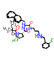 CC(C)(C)C(=O)N1CCC[C@H]1C(=O)N[C@H](Cc1ccc2ccccc2c1)C(=O)NCCCNCc1ccccc1F.Cl